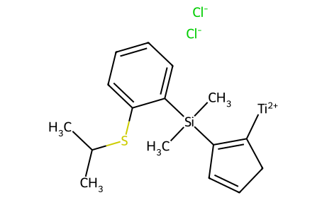 CC(C)Sc1ccccc1[Si](C)(C)C1=[C]([Ti+2])CC=C1.[Cl-].[Cl-]